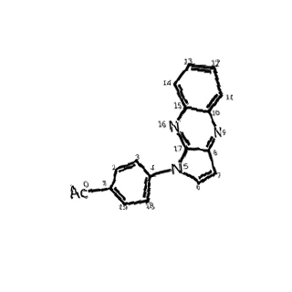 CC(=O)c1ccc(-n2ccc3nc4ccccc4nc32)cc1